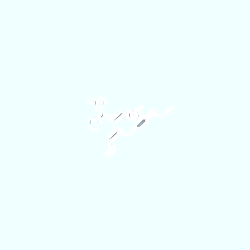 CC/C=C(CC#CCCC)/C(=C\OC)C(=O)OC